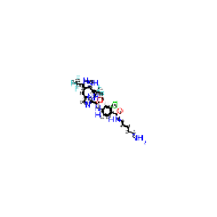 NCCCCCNC(=O)c1ccc(NC(=O)c2ncc(Cc3c(C(F)(F)F)n[nH]c3[C@@H]3CC3(F)F)[nH]2)cc1Cl